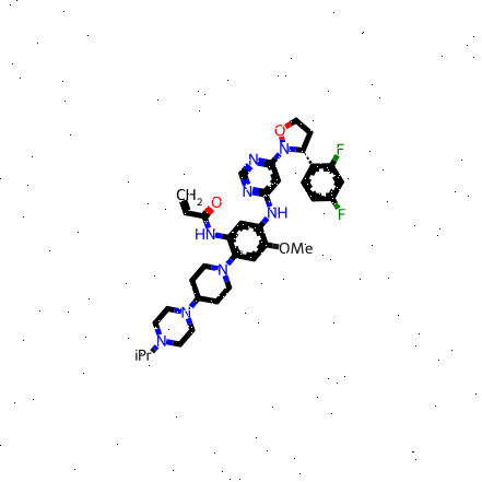 C=CC(=O)Nc1cc(Nc2cc(N3OCC[C@@H]3c3ccc(F)cc3F)ncn2)c(OC)cc1N1CCC(N2CCN(C(C)C)CC2)CC1